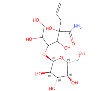 C=CCC(O)(C(N)=O)C(O)C(O[C@H]1O[C@H](CO)[C@@H](O)[C@H](O)[C@H]1O)C(O)CO